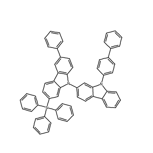 c1ccc(-c2ccc(-n3c4ccccc4c4ccc(-n5c6ccc(-c7ccccc7)cc6c6ccc([Si](c7ccccc7)(c7ccccc7)c7ccccc7)cc65)cc43)cc2)cc1